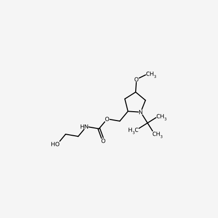 COC1CC(COC(=O)NCCO)N(C(C)(C)C)C1